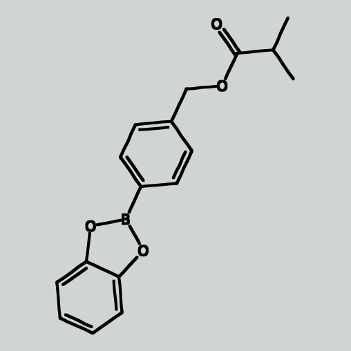 CC(C)C(=O)OCc1ccc(B2Oc3ccccc3O2)cc1